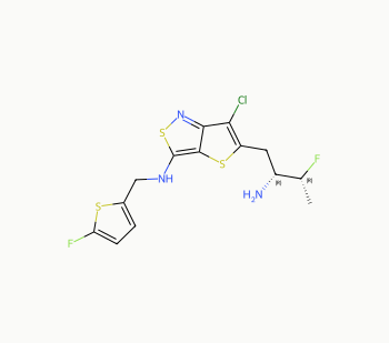 C[C@@H](F)[C@H](N)Cc1sc2c(NCc3ccc(F)s3)snc2c1Cl